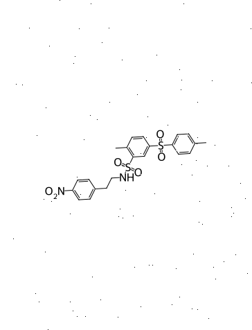 Cc1ccc(S(=O)(=O)c2ccc(C)c(S(=O)(=O)NCCc3ccc([N+](=O)[O-])cc3)c2)cc1